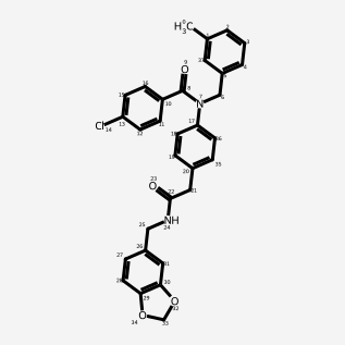 Cc1cccc(CN(C(=O)c2ccc(Cl)cc2)c2ccc(CC(=O)NCc3ccc4c(c3)OCO4)cc2)c1